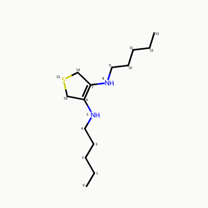 CCCCCNC1=C(NCCCCC)CSC1